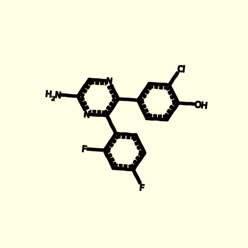 Nc1cnc(-c2ccc(O)c(Cl)c2)c(-c2ccc(F)cc2F)n1